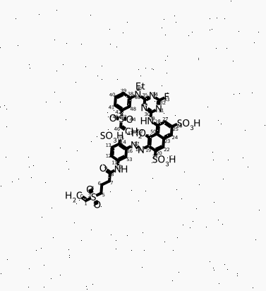 C=CS(=O)(=O)CCCC(=O)Nc1ccc(S(=O)(=O)O)c(/N=N/c2c(S(=O)(=O)O)cc3cc(S(=O)(=O)O)cc(Nc4nc(F)nc(N(CC)c5cccc(S(=O)(=O)C=C)c5)n4)c3c2O)c1